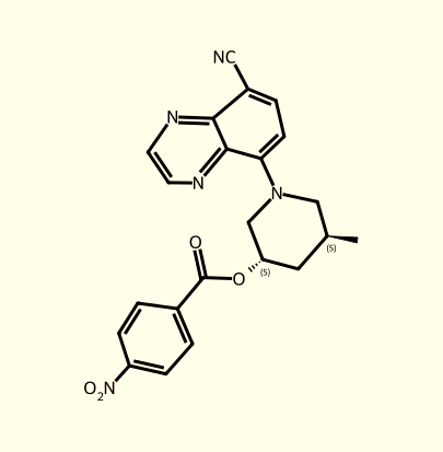 C[C@H]1C[C@H](OC(=O)c2ccc([N+](=O)[O-])cc2)CN(c2ccc(C#N)c3nccnc23)C1